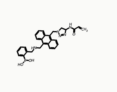 C=CC(=O)NC1CN(Cc2c3ccccc3c(CNCc3ccccc3B(O)O)c3ccccc23)N=N1